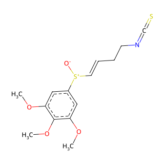 COc1cc([S+]([O-])C=CCCN=C=S)cc(OC)c1OC